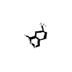 Cc1ccc2cnnc(I)c2c1